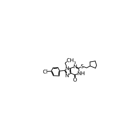 CCn1c(-c2ccc(Cl)cc2)nc2c(=O)[nH]c(SCC3CCCC3)nc21